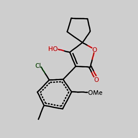 COc1cc(C)cc(Cl)c1C1=C(O)C2(CCCC2)OC1=O